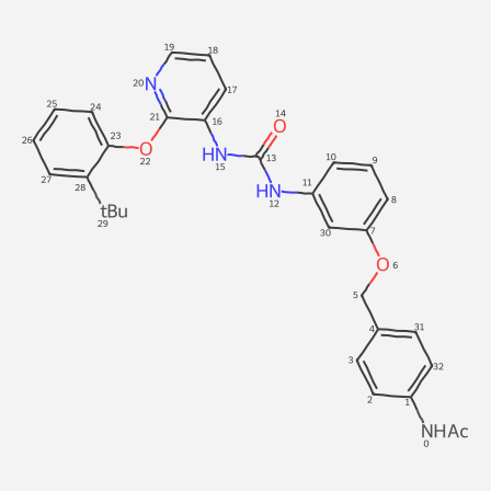 CC(=O)Nc1ccc(COc2cccc(NC(=O)Nc3cccnc3Oc3ccccc3C(C)(C)C)c2)cc1